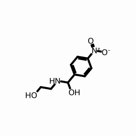 O=[N+]([O-])c1ccc(C(O)NCCO)cc1